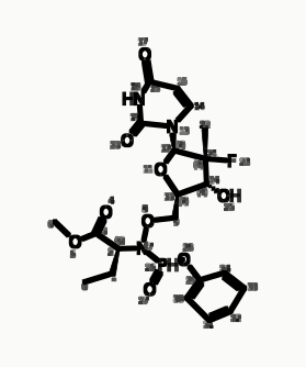 CC[C@@H](C(=O)OC)N(OC[C@H]1O[C@@H](n2ccc(=O)[nH]c2=O)[C@](C)(F)[C@@H]1O)[PH](=O)Oc1ccccc1